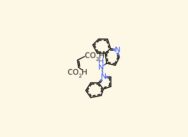 O=C(O)/C=C\C(=O)O.c1ccc2c(c1)ccn2Nc1ccnc2ccccc12